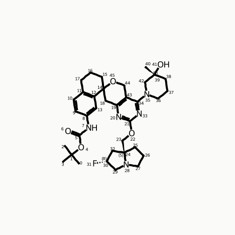 CC(C)(C)OC(=O)Nc1ccc2c(c1)C1(CCC2)Cc2nc(OC[C@@]34CCCN3C[C@H](F)C4)nc(N3CCC[C@@](C)(O)C3)c2CO1